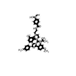 COc1ccc(C2=N[C@@H](c3ccc(C)cc3)[C@@H](c3ccc(Cl)cc3)N2C(=O)N2CCN(CCNC(=O)c3ccc(B(O)O)cc3)CC2)c(OC(C)C)c1